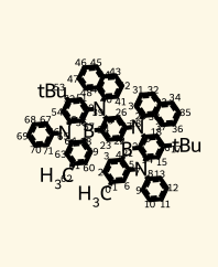 Cc1ccc2c(c1)N(c1ccccc1)c1cc(C(C)(C)C)cc3c1B2c1cc2c(cc1N3c1cccc3ccccc13)N(c1cccc3ccccc13)c1cc(C(C)(C)C)cc3c1B2c1ccc(C)cc1N3c1ccccc1